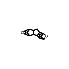 C1C2C3CC4C(C5CC46CC5O6)C3C1C1OC21